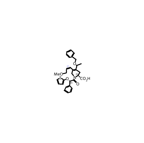 COC/C=C\C1=C(C(C)OCc2ccccc2)C[C@@H](C(=O)O)N(C(=O)[C@@H](Oc2cccs2)c2ccccc2)C1